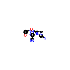 CCC[C@@H](CCCN(C(=O)NCc1cccc(OC)c1)c1ccc(-c2cnn(C)c2)cc1)Nc1ccc(C#N)cn1